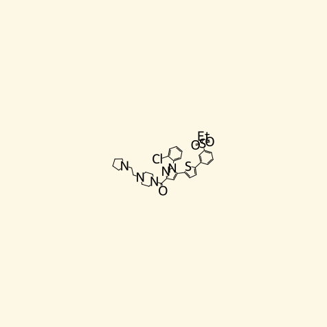 CCS(=O)(=O)c1cccc(-c2ccc(-c3cc(C(=O)N4CCN(CCN5CCCC5)CC4)nn3-c3ccccc3Cl)s2)c1